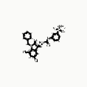 NS(=O)(=O)c1cccc(NC(=S)NN=C2C(=O)N(Cc3ccccc3)c3c(Cl)cc(Cl)cc32)c1